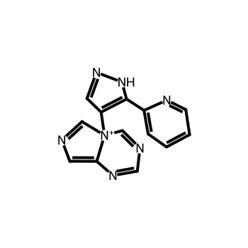 C1=NC=NC2=CN=C[N+]12c1cn[nH]c1-c1ccccn1